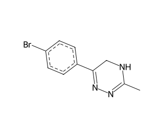 CC1=NN=C(c2ccc(Br)cc2)CN1